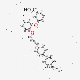 O=C(O)c1cccc(Oc2ccccc2OCC#Cc2ccc(-c3ccc(C(F)(F)F)cc3)cc2)c1